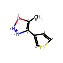 Cc1onnc1-c1ccsc1